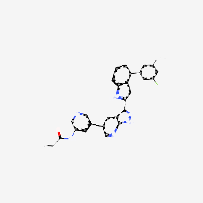 COc1cc(F)cc(-c2cccc3[nH]c(-c4n[nH]c5ncc(-c6cncc(NC(=O)CC(C)(C)C)c6)cc45)cc23)c1